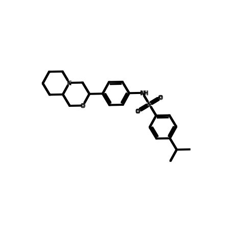 CC(C)c1ccc(S(=O)(=O)Nc2ccc(C3CN4CCCCC4CO3)cc2)cc1